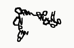 O=C1COc2ccc(N3CC(CCNCc4cccc(-c5cccc(OCC6COCCN6)n5)c4)OC3=O)nc2N1